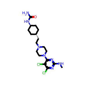 CNc1nc(Cl)c(Cl)c(N2CCN(CC[C@H]3CC[C@H](NC(N)=O)CC3)CC2)n1